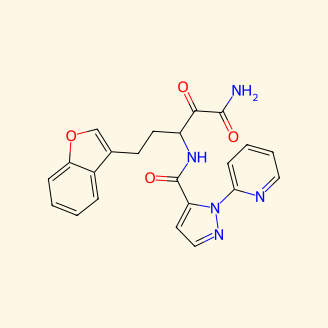 NC(=O)C(=O)C(CCc1coc2ccccc12)NC(=O)c1ccnn1-c1ccccn1